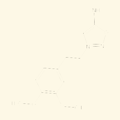 COc1ccc(CC[n+]2cc([NH-])on2)cc1OC